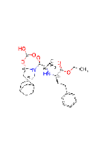 CCOC(=O)[C@@H](CCc1ccccc1)N[C@H](C)C(=O)N1C[C@]2(CC3CCC2CC3)C[C@@H]1OC(=O)O